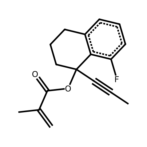 C=C(C)C(=O)OC1(C#CC)CCCc2cccc(F)c21